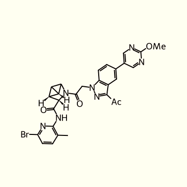 COc1ncc(-c2ccc3c(c2)c(C(C)=O)nn3CC(=O)N2C3C4[C@H]3[C@@H]4[C@H]2C(=O)Nc2nc(Br)ccc2C)cn1